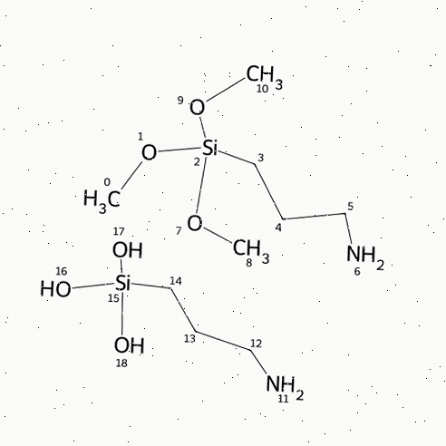 CO[Si](CCCN)(OC)OC.NCCC[Si](O)(O)O